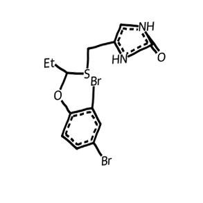 CCC(Oc1ccc(Br)cc1Br)SCc1c[nH]c(=O)[nH]1